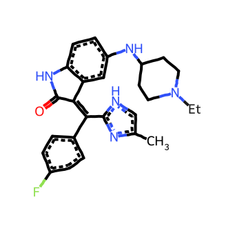 CCN1CCC(Nc2ccc3c(c2)C(=C(c2ccc(F)cc2)c2nc(C)c[nH]2)C(=O)N3)CC1